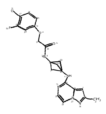 Cc1cc2c(NC34CC(NC(=O)COc5ccc(Cl)c(F)c5)(C3)C4)nccn2n1